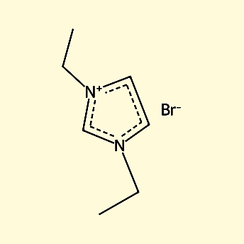 CCn1cc[n+](CC)c1.[Br-]